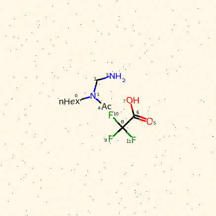 CCCCCCN(CN)C(C)=O.O=C(O)C(F)(F)F